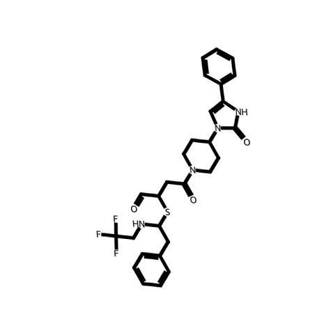 O=CC(CC(=O)N1CCC(n2cc(-c3ccccc3)[nH]c2=O)CC1)SC(Cc1ccccc1)NCC(F)(F)F